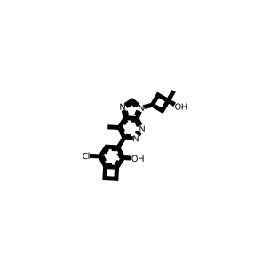 Cc1c(-c2cc(Cl)c3c(c2O)CC3)nnc2c1ncn2C1CC(C)(O)C1